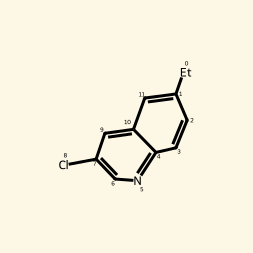 CCc1ccc2ncc(Cl)cc2c1